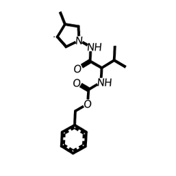 CC1[CH]CN(NC(=O)C(NC(=O)OCc2ccccc2)C(C)C)C1